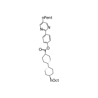 CCCCCCCC[C@H]1CC[C@H]([C@H]2CC[C@H](C(=O)Oc3ccc(-c4ncc(CCCCC)cn4)cc3)CC2)CC1